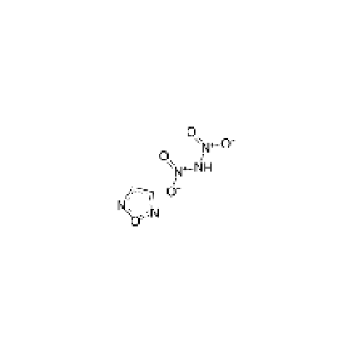 O=[N+]([O-])N[N+](=O)[O-].c1cnon1